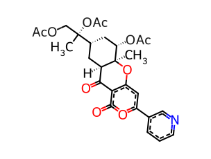 CC(=O)OC[C@@](C)(OC(C)=O)[C@@H]1C[C@H](OC(C)=O)[C@@]2(C)Oc3cc(-c4cccnc4)oc(=O)c3C(=O)[C@H]2C1